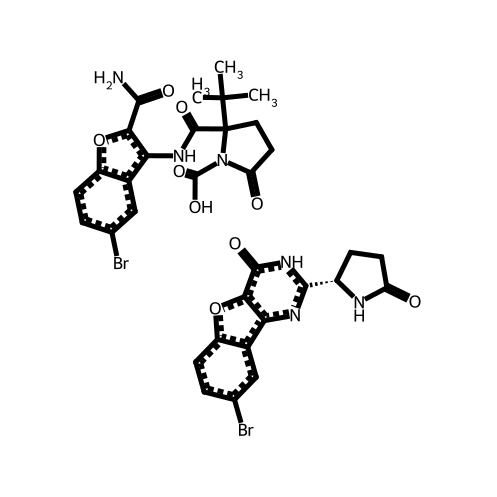 CC(C)(C)C1(C(=O)Nc2c(C(N)=O)oc3ccc(Br)cc23)CCC(=O)N1C(=O)O.O=C1CC[C@@H](c2nc3c(oc4ccc(Br)cc43)c(=O)[nH]2)N1